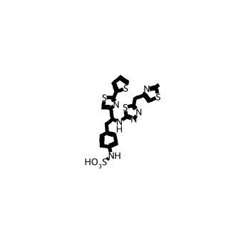 Cc1nc(Cc2nnc(NC(Cc3ccc(NS(=O)(=O)O)cc3)c3csc(-c4cccs4)n3)s2)cs1